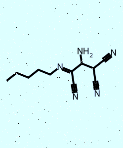 CCCCCN=C(C#N)C(N)C(C#N)C#N